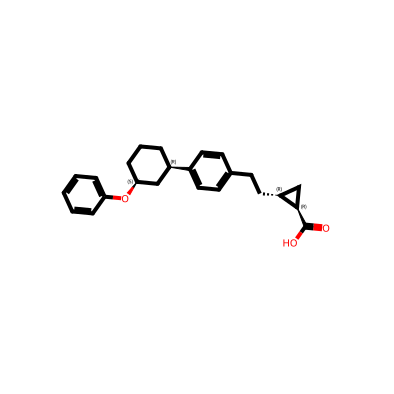 O=C(O)[C@@H]1C[C@H]1CCc1ccc([C@@H]2CCC[C@H](Oc3ccccc3)C2)cc1